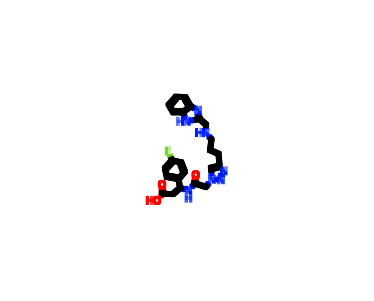 O=C(O)CC(NC(=O)Cn1cc(CCCNCc2nc3ccccc3[nH]2)nn1)c1ccc(F)cc1